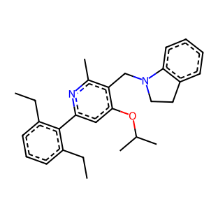 CCc1cccc(CC)c1-c1cc(OC(C)C)c(CN2CCc3ccccc32)c(C)n1